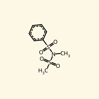 CN(S(C)(=O)=O)S(=O)(=O)c1ccccc1